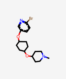 CN1CCC(OC2CCC(Oc3ccc(Br)nc3)CC2)CC1